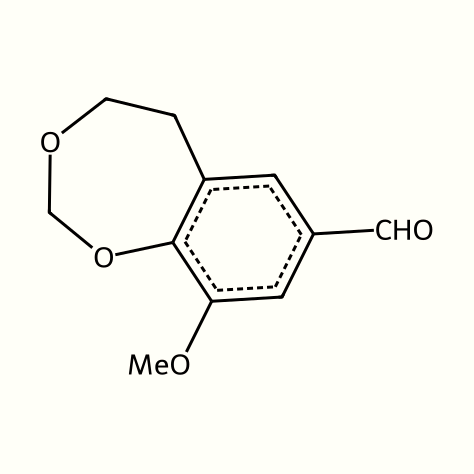 COc1cc(C=O)cc2c1OCOCC2